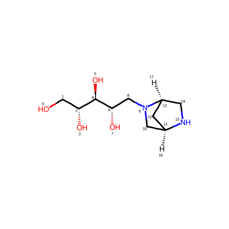 OC[C@@H](O)[C@@H](O)[C@@H](O)CN1C[C@H]2C[C@@H]1CN2